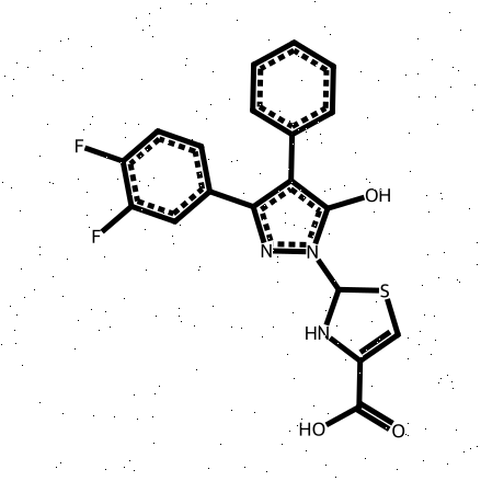 O=C(O)C1=CSC(n2nc(-c3ccc(F)c(F)c3)c(-c3ccccc3)c2O)N1